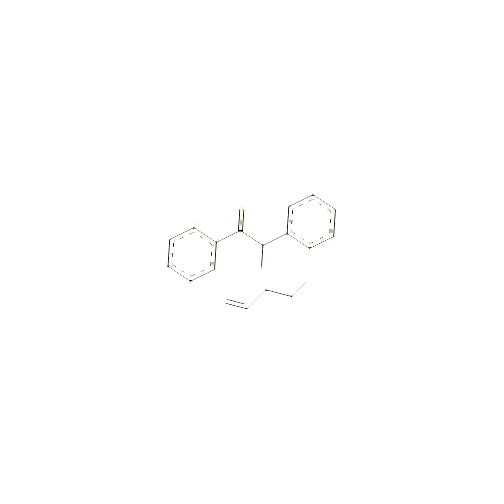 CCCC=O.O=C(c1ccccc1)C(O)c1ccccc1